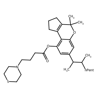 CCCCCC(C)C(C)c1cc(OC(=O)CCCN2CCSCC2)c2c(c1)OC(C)(C)C1=C2CCC1